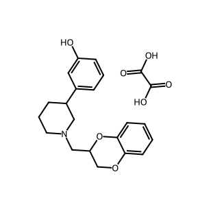 O=C(O)C(=O)O.Oc1cccc(C2CCCN(CC3COc4ccccc4O3)C2)c1